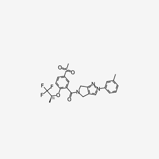 Cc1cccc(-n2cc3c(n2)CN(C(=O)c2cc(S(C)(=O)=O)ccc2O[C@@H](C)C(F)(F)F)C3)c1